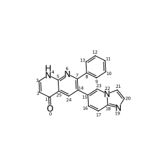 O=c1cc[nH]c2nc(-c3ccccc3)c(-c3ccc4nccn4c3)cc12